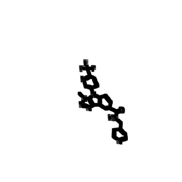 Cn1nnc2c3cc(C(=O)NCc4ccncc4)ccc3n(-c3ccc(C(F)(F)F)nc3)c21